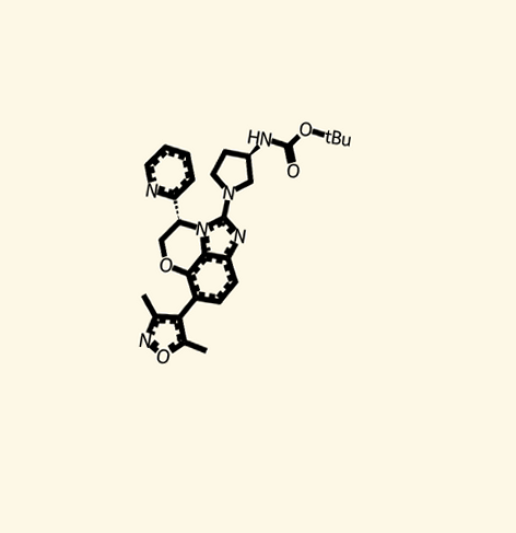 Cc1noc(C)c1-c1ccc2nc(N3CC[C@@H](NC(=O)OC(C)(C)C)C3)n3c2c1OC[C@@H]3c1ccccn1